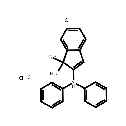 C[C]1([Ti+3])C([SiH](c2ccccc2)c2ccccc2)=Cc2ccccc21.[Cl-].[Cl-].[Cl-]